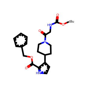 CC(C)(C)OC(=O)NCC(=O)N1CCC(c2cc[nH]c2C(=O)OCc2ccccc2)CC1